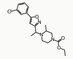 CCOC(=O)N1CCN(C(C)c2cc(-c3cccc(Cl)c3)on2)C(C)C1